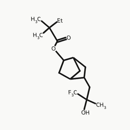 CCC(C)(C)C(=O)OC1CC2CC1CC2CC(C)(O)C(F)(F)F